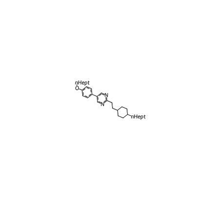 CCCCCCCOc1ccc(-c2cnc(CCC3CCC(CCCCCCC)CC3)nc2)cc1